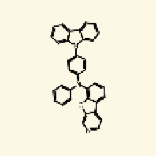 c1ccc(N(c2ccc(-n3c4ccccc4c4ccccc43)cc2)c2cccc3c2oc2cnccc23)cc1